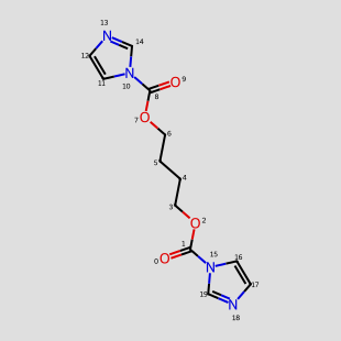 O=C(OCCCCOC(=O)n1ccnc1)n1ccnc1